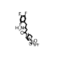 CC(C)S(=O)(=O)N1CC2CC1CN2C(=O)C[C@H](N)Cc1cc(F)c(F)cc1F